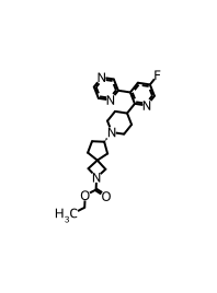 CCOC(=O)N1CC2(CC[C@H](N3CCC(c4ncc(F)cc4-c4cnccn4)CC3)C2)C1